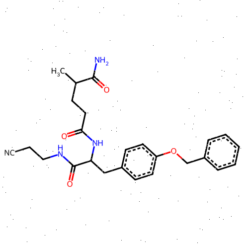 CC(C[CH]C(=O)NC(Cc1ccc(OCc2ccccc2)cc1)C(=O)NCCC#N)C(N)=O